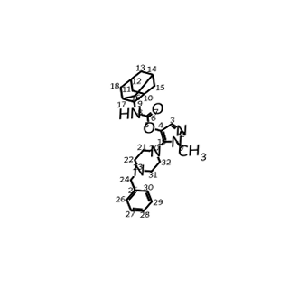 Cn1ncc(OC(=O)NC2C3CC4CC(C3)CC2C4)c1N1CCN(Cc2ccccc2)CC1